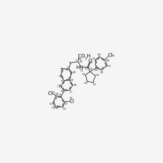 O=C(O)[C@H](Cc1ccc2nc(-c3c(Cl)cncc3Cl)ccc2c1)NC(=O)C1(c2ccc(Cl)cc2)CCCC1